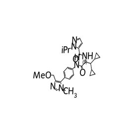 COCc1ncn(C)c1-c1ccc(NC(=O)[C@@H](NC(=O)c2ccnn2C(C)C)C(C2CC2)C2CC2)cc1